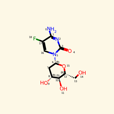 Nc1nc(=O)n([C@H]2C[C@@H](O)[C@H](O)[C@@H](CO)O2)cc1F